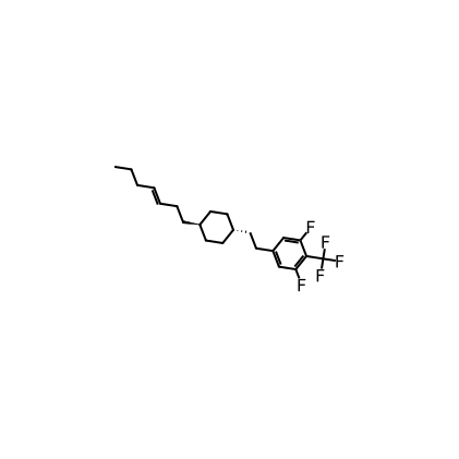 CCC/C=C/CC[C@H]1CC[C@H](CCc2cc(F)c(C(F)(F)F)c(F)c2)CC1